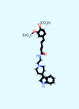 CCOC(=O)Oc1ccc(C=CC=CC(=O)NCCN2CCC(c3c[nH]c4ccccc34)CC2)cc1OC(=O)OCC